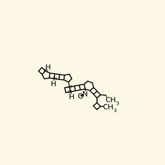 CCC1C(C2CCC2C)C2C1C1CCC3C4C(C5C4[C@@]4(C6CCC7C8C(C76)[C@H]6C7CC9CC[C@H]9C7C86)CC[C@@H]54)C3(N=O)C12